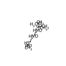 COC(=O)[SH]=CCCNC(=O)CCNC(=O)[C@@H]1OC(C)(C)OCC1(C)C